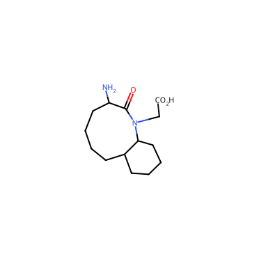 NC1CCCCC2CCCCC2N(CC(=O)O)C1=O